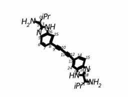 CC(C)[C@H](N)c1nc2ccc(C#CC#Cc3ccc4nc([C@@H](N)C(C)C)[nH]c4c3)cc2[nH]1